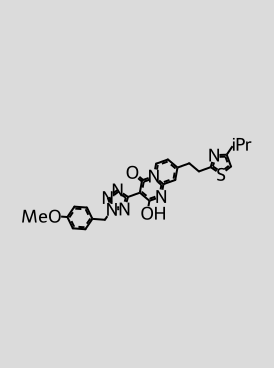 COc1ccc(Cn2nnc(-c3c(O)nc4cc(CCc5nc(C(C)C)cs5)ccn4c3=O)n2)cc1